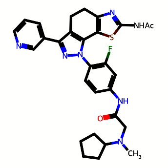 CC(=O)Nc1nc2c(s1)-c1c(c(-c3cccnc3)nn1-c1ccc(NC(=O)CN(C)C3CCCC3)cc1F)CC2